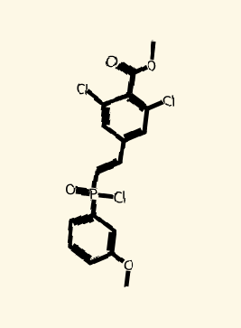 COC(=O)c1c(Cl)cc(/C=C/P(=O)(Cl)c2cccc(OC)c2)cc1Cl